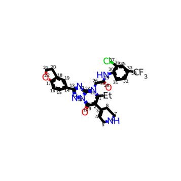 CCc1c(C2=CCNCC2)c(=O)n2nc(-c3ccc4c(c3)CCO4)nc2n1CC(=O)Nc1ccc(C(F)(F)F)cc1Cl